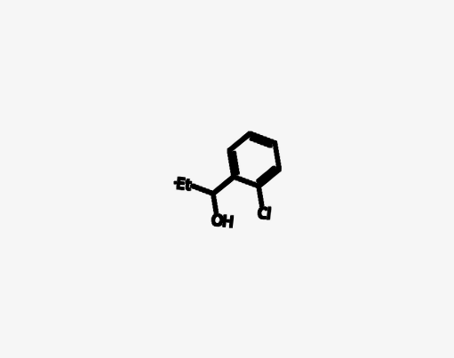 C[CH]C(O)c1ccccc1Cl